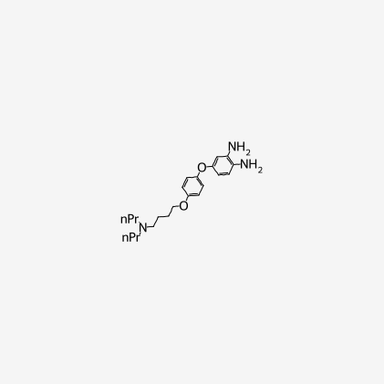 CCCN(CCC)CCCCOc1ccc(Oc2ccc(N)c(N)c2)cc1